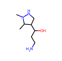 CC1C(C(O)CCN)CNN1C